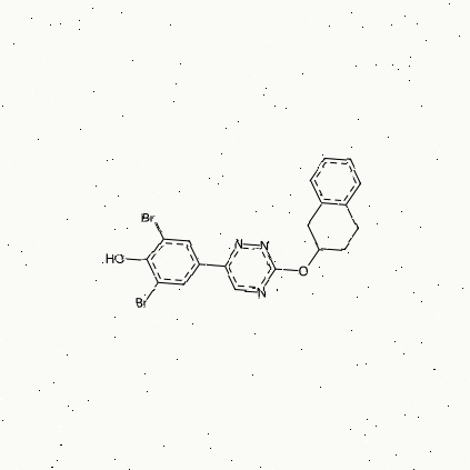 Oc1c(Br)cc(-c2cnc(OC3CCc4ccccc4C3)nn2)cc1Br